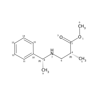 COC(=O)[C@H](C)CN[C@H](C)c1ccccc1